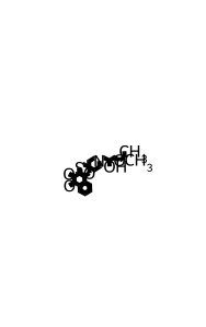 CC(C)OCC(O)CN1CCC2(CC1)CSC1=C(O2)c2ccccc2C(=O)C1=O